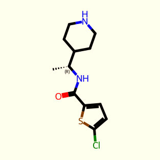 C[C@@H](NC(=O)c1ccc(Cl)s1)C1CCNCC1